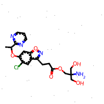 CC(Oc1cc2onc(CCC(=O)OCC(N)(CO)CO)c2cc1Cl)c1ncccn1